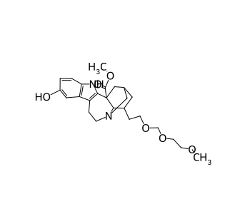 COCCOCOCCC1CC2CN3CCc4c([nH]c5ccc(O)cc45)C(C(=O)OC)(C2)C13